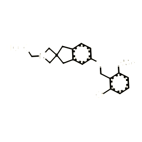 COc1cccc(Cl)c1COc1ccc2c(c1)CC1(C2)CN(CC(=O)O)C1